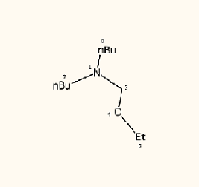 CCCCN(CCCC)COCC